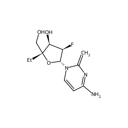 C=C1N=C(N)C=CN1[C@@H]1O[C@](CC)(CO)[C@@H](O)[C@H]1F